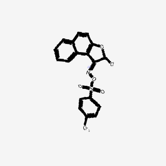 Cc1ccc(S(=O)(=O)O/N=C2/c3c(ccc4ccccc34)OC2Cl)cc1